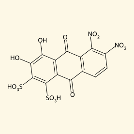 O=C1c2c(O)c(O)c(S(=O)(=O)O)c(S(=O)(=O)O)c2C(=O)c2ccc([N+](=O)[O-])c([N+](=O)[O-])c21